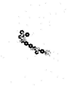 CN(C)c1ccc(C(=O)N2CCC[C@H]2c2ncc(-c3ccc(-c4ccc(-c5cnc([C@@H]6CCCN6C(=O)[C@@H](c6ccccc6)N6CCCCC6)[nH]5)cc4)cc3)[nH]2)cc1